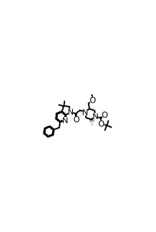 COCC1CN(C(=O)OC(C)(C)C)[C@H](C)CN1CC(=O)N1CC(C)(C)c2ccc(Cc3ccccc3)nc21